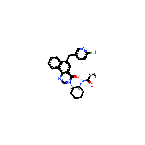 CC(=O)N[C@H]1CCCC[C@@H]1n1cnc2c(cc(Cc3ccc(Cl)nc3)c3ccccc32)c1=O